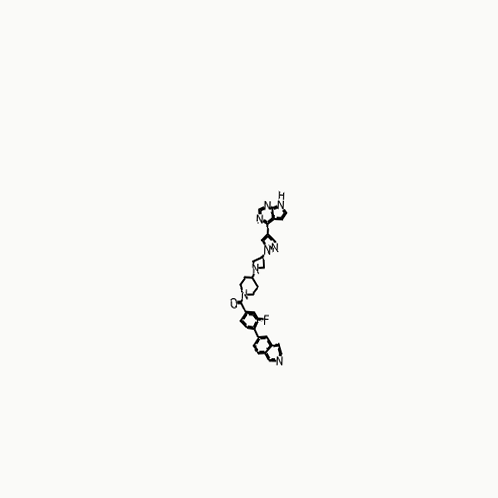 O=C(c1ccc(-c2ccc3cnccc3c2)c(F)c1)N1CCC(N2CC(n3cc(-c4ncnc5[nH]ccc45)cn3)C2)CC1